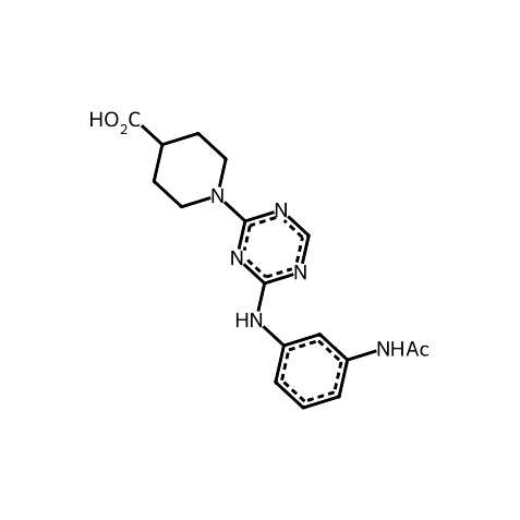 CC(=O)Nc1cccc(Nc2ncnc(N3CCC(C(=O)O)CC3)n2)c1